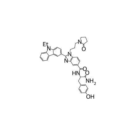 CCn1c2ccccc2c2cc(-c3nc4cc(C(=O)NC(Cc5ccc(O)cc5)C(N)=O)ccc4n3CCCN3CCCC3=O)ccc21